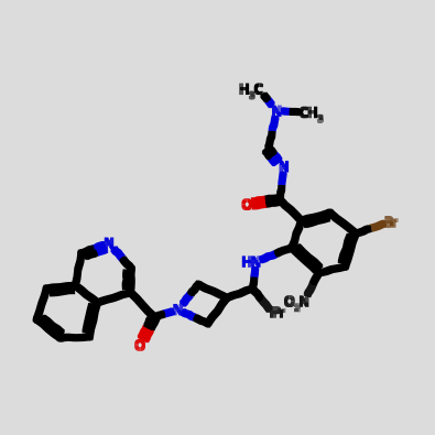 CC(C)C(Nc1c(C(=O)/N=C/N(C)C)cc(Br)cc1[N+](=O)[O-])C1CN(C(=O)c2cncc3ccccc23)C1